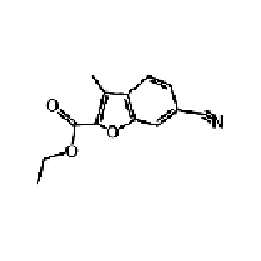 CCOC(=O)c1oc2cc(C#N)ccc2c1C